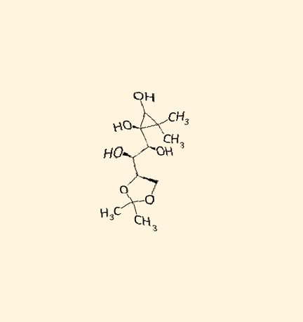 CC1(C)OC[C@H]([C@@H](O)[C@H](O)[C@]2(O)C(O)C2(C)C)O1